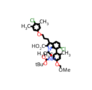 COCOc1cc(C)c(-c2c(Cl)ccc3c(CCCOc4cc(C)c(Cl)c(C)c4)c(C(=O)O)n([C@H](C)CNC(=O)OC(C)(C)C)c23)c(C)c1